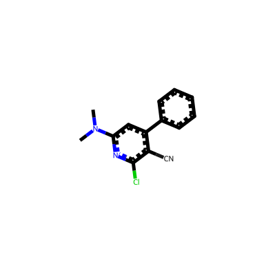 CN(C)c1cc(-c2ccccc2)c(C#N)c(Cl)n1